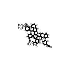 C[Si](C)(C)c1ccc(N(c2ccc(C#N)cc2)c2c3ccccc3cc3c2c2cccc4c5c(N(c6ccc(C#N)cc6)c6ccc([Si](C)(C)C)cc6)c6ccccc6cc5n3c24)cc1